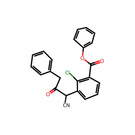 N#CC(C(=O)Cc1ccccc1)c1cccc(C(=O)Oc2ccccc2)c1Cl